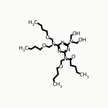 CCCCOCN(COCCCC)c1nc(N(CO)CO)nc(N(COCCCC)C(=O)CCCC)n1